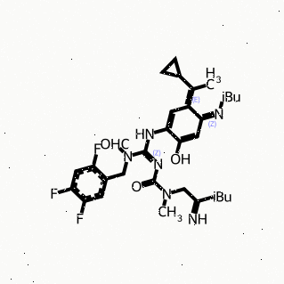 CCC(C)/N=C1/C=C(O)C(N/C(=N/C(=O)N(C)CC(=N)C(C)CC)N(C=O)Cc2cc(F)c(F)cc2F)=C/C1=C(/C)C1CC1